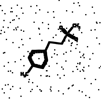 Cc1ccc(CCS(C)(=O)=O)cc1